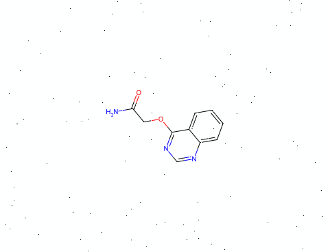 NC(=O)COc1ncnc2ccccc12